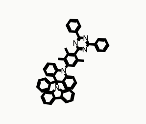 Cc1cc(N2c3ccccc3C(c3ccccc3)(n3c4ccccc4c4ccccc43)c3ccccc32)c(C)c(C)c1-c1nc(-c2ccccc2)nc(-c2ccccc2)n1